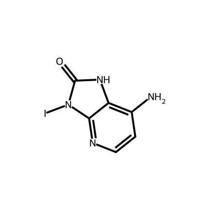 Nc1ccnc2c1[nH]c(=O)n2I